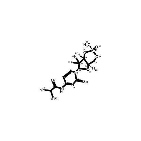 CCCC(CCC)C(=O)Nc1ccn([C@@H]2O[C@@H]3CO[P@@](C)(=O)O[C@H]3C2(F)F)c(=O)n1